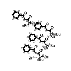 CCCCN(CCCC)C(=O)CC(=O)c1ccccc1.CCCCN(CCCC)C(=O)CC(=O)c1ccccc1.CCCCN(CCCC)C(=O)CC(=O)c1ccccc1.CCCCN(CCCC)C(=O)CC(=O)c1ccccc1.[Zr+4]